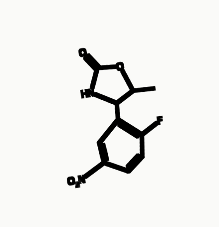 CC1OC(=O)NC1c1cc([N+](=O)[O-])ccc1F